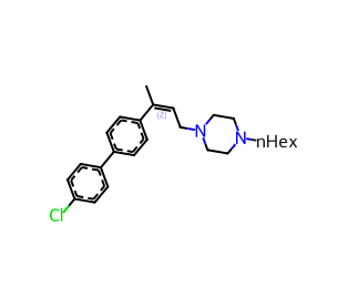 CCCCCCN1CCN(C/C=C(/C)c2ccc(-c3ccc(Cl)cc3)cc2)CC1